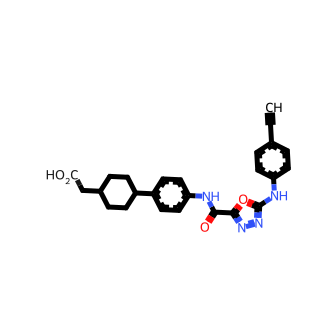 C#Cc1ccc(Nc2nnc(C(=O)Nc3ccc(C4CCC(CC(=O)O)CC4)cc3)o2)cc1